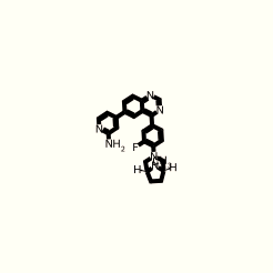 CN1[C@@H]2CC[C@H]1CN(c1ccc(-c3ncnc4ccc(-c5ccnc(N)c5)cc34)cc1F)C2